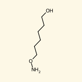 NOCCCCCCO